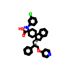 O=C(O)C1(Nc2cccc(Cl)c2)CCC2(CC1)c1ccccc1C[C@H]2C[C@@H](COc1ccncc1)c1ccccc1